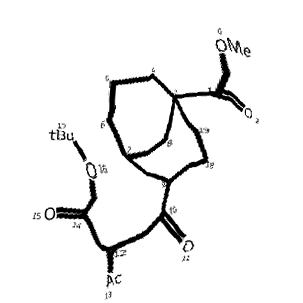 COC(=O)C12CCCC(C1)C(C(=O)C(C(C)=O)C(=O)OC(C)(C)C)CC2